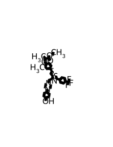 CCOC(=O)C(C)Oc1ccc(SCc2sc(-c3ccc(C(F)(F)F)cc3)nc2CN2CCN(c3ccc(O)cc3)CC2)cc1C